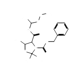 COOC(C)NC(=O)C1C(C)OC(C)(C)N1C(=O)OCc1ccccc1